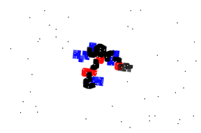 CCCOCc1ncc(-c2ccc3ncc(N)cc3c2OCCCOC(=O)C2CCCCN2)cn1